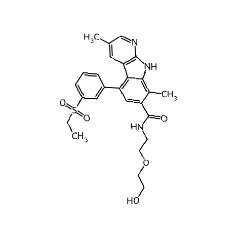 CCS(=O)(=O)c1cccc(-c2cc(C(=O)NCCOCCO)c(C)c3[nH]c4ncc(C)cc4c23)c1